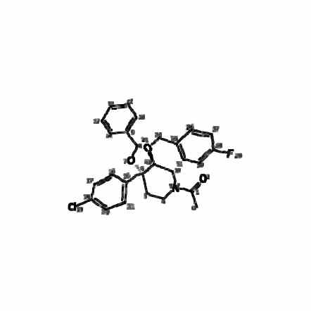 CC(=O)N1CC[C@@](OCc2ccccc2)(c2ccc(Cl)cc2)[C@@H](OCc2ccc(F)cc2)C1